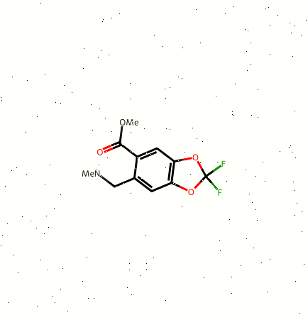 CNCc1cc2c(cc1C(=O)OC)OC(F)(F)O2